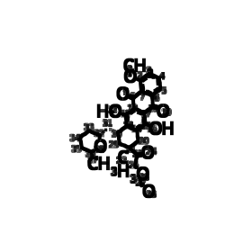 COc1cccc2c1C(=O)c1c(O)c3c(c(O)c1C2=O)C[C@@](C)(C(=O)COC=O)C[C@@H]3C[C@H]1CCC[C@H](C)O1